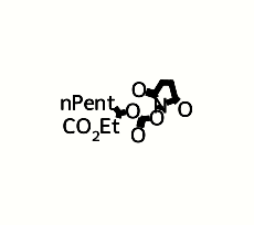 CCCCCC(OC(=O)ON1C(=O)CCC1=O)C(=O)OCC